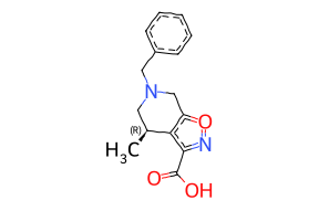 C[C@H]1CN(Cc2ccccc2)Cc2onc(C(=O)O)c21